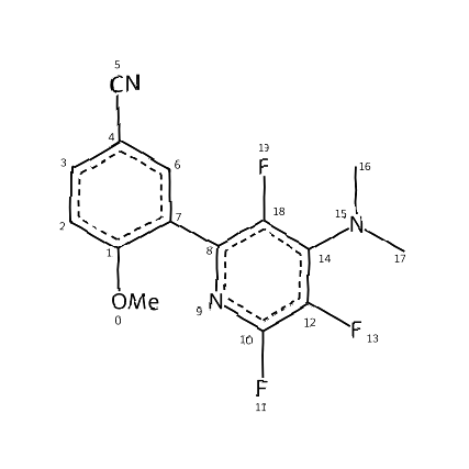 COc1ccc(C#N)cc1-c1nc(F)c(F)c(N(C)C)c1F